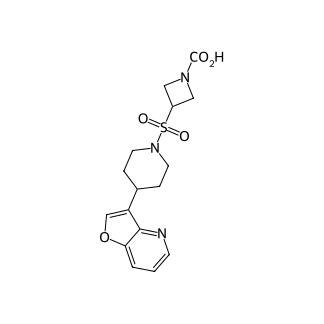 O=C(O)N1CC(S(=O)(=O)N2CCC(c3coc4cccnc34)CC2)C1